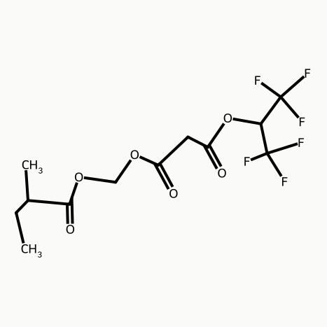 CCC(C)C(=O)OCOC(=O)CC(=O)OC(C(F)(F)F)C(F)(F)F